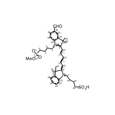 COS(=O)(=O)CCCC[N+]1=C(/C=C/C=C/C=C2/N(CCCCS(=O)(=O)O)c3ccccc3C2(C)C)C(C)(C)c2cc(C=O)ccc21